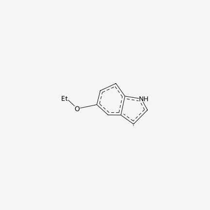 CCOc1ccc2[nH]c[c]c2c1